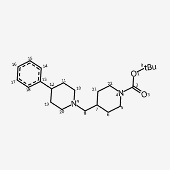 CC(C)(C)OC(=O)N1CCC(CN2CCC(c3ccccc3)CC2)CC1